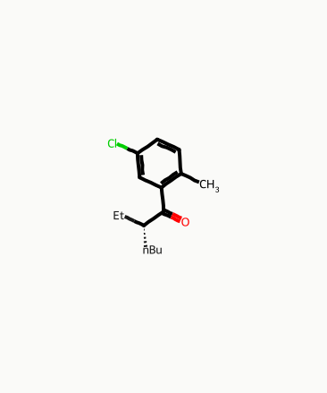 CCCC[C@H](CC)C(=O)c1cc(Cl)ccc1C